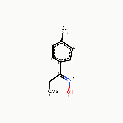 COCC(=NO)c1ccc(C(F)(F)F)cc1